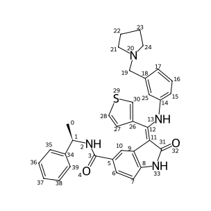 C[C@@H](NC(=O)c1ccc2c(c1)/C(=C(/Nc1cccc(CN3CCCC3)c1)c1ccsc1)C(=O)N2)c1ccccc1